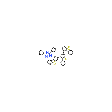 c1ccc(-c2nc(-c3ccccc3)nc(-c3cccc4sc5cc(-c6cc(-c7cccc8sc9ccccc9c78)cc7sc8ccccc8c67)ccc5c34)n2)cc1